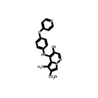 CCOC(=O)c1cn2ncc(C#N)c(Nc3ccc(Oc4ccncc4)cc3)c2c1C